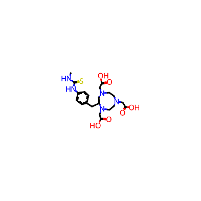 CNC(=S)Nc1ccc(CC2CN(CC(=O)O)CCN(CC(=O)O)CCN2CC(=O)O)cc1